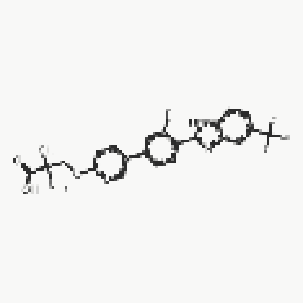 CC(C)(COc1ccc(-c2ccc(-c3nc4cc(C(F)(F)F)ccc4[nH]3)c(F)c2)cn1)C(=O)O